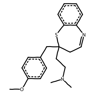 COc1ccc(CC2(CCN(C)C)CC=Nc3ccccc3S2)cc1